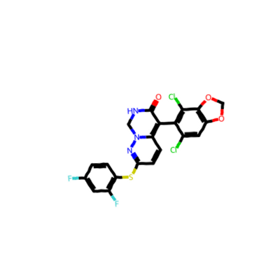 O=C1NCN2N=C(Sc3ccc(F)cc3F)C=CC2=C1c1c(Cl)cc2c(c1Cl)OCO2